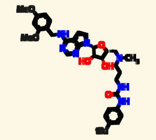 COc1ccc(CNc2ncnc3c2ccn3[C@@H]2O[C@H](CN(C)CCCNC(=O)Nc3ccc(C(C)(C)C)cc3)[C@H](O)[C@H]2O)c(OC)c1